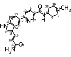 CN1CCC(NC(=O)c2ccc(-c3cnc4[nH]cc(C=CC(N)=O)c4c3)nc2)CC1